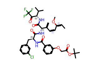 C=C(/C=C\C(=C/C)OC)[C@H](NC(=O)[C@H](Cc1cccc(Cl)c1)NC(=O)c1cccc(OCC(=O)OC(C)(C)C)c1)C(=O)N[C@H](C(=O)C(F)(F)F)C(C)C